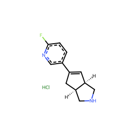 Cl.Fc1ccc(C2=C[C@H]3CNC[C@H]3C2)cn1